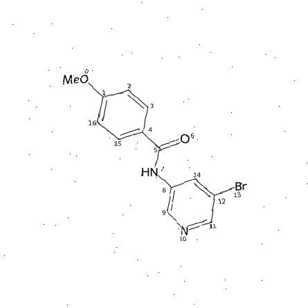 COc1ccc(C(=O)Nc2cncc(Br)c2)cc1